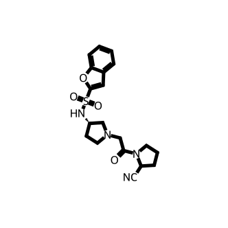 N#CC1CCCN1C(=O)CN1CC[C@H](NS(=O)(=O)c2cc3ccccc3o2)C1